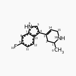 CC1CC(c2c[nH]c3cc(F)ccc23)=CCN1